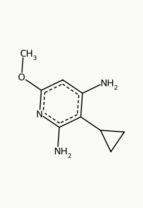 COc1cc(N)c(C2CC2)c(N)n1